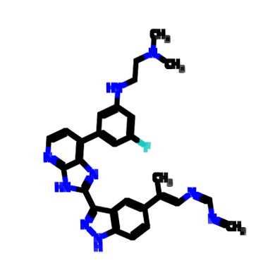 C=N/C=N\C=C(/C)c1ccc2[nH]nc(-c3nc4c(-c5cc(F)cc(NCCN(C)C)c5)ccnc4[nH]3)c2c1